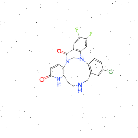 O=C1c2cc(F)c(F)cc2N2CN1c1ccc(=O)[nH]c1CCNCc1cc(Cl)ccc12